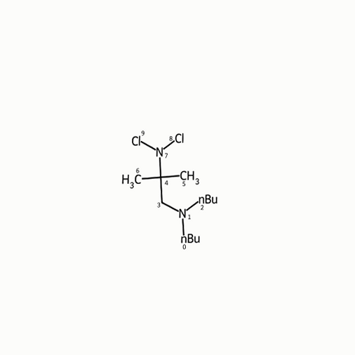 CCCCN(CCCC)CC(C)(C)N(Cl)Cl